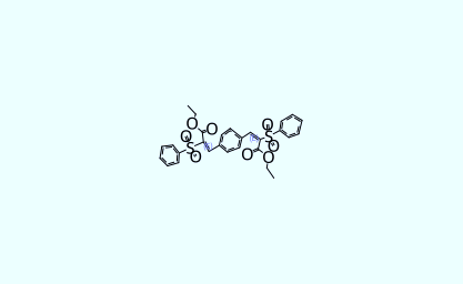 CCOC(=O)/C(=C\c1ccc(/C=C(\C(=O)OCC)S(=O)(=O)c2ccccc2)cc1)S(=O)(=O)c1ccccc1